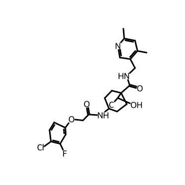 Cc1cc(C)c(CNC(=O)C23CCC(NC(=O)COc4ccc(Cl)c(F)c4)(CC2)CC3O)cn1